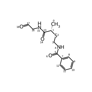 C[C@H](SCNC(=O)c1ccccc1)C(=O)NC[C]=O